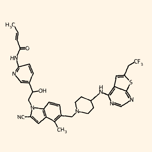 C/C=C/C(=O)Nc1ccc(C(O)Cn2c(C#N)cc3c(C)c(CN4CCC(Nc5ncnc6sc(CC(F)(F)F)cc56)CC4)ccc32)cn1